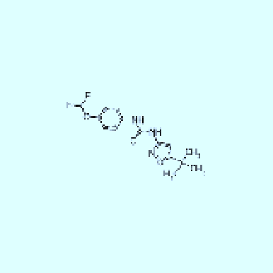 CC(C)(C)c1cc(NC(=O)Nc2ccc(OC(F)F)cc2)no1